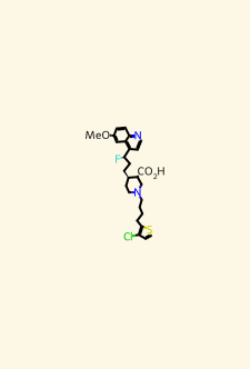 COc1ccc2nccc([C@H](F)CC[C@@H]3CCN(CCCCc4sccc4Cl)C[C@@H]3C(=O)O)c2c1